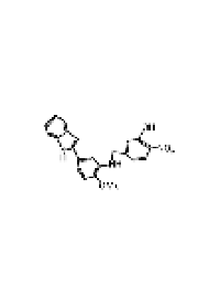 COc1ccc(-c2cc3ccccc3[nH]2)cc1NCc1ccc([N+](=O)[O-])c(O)c1